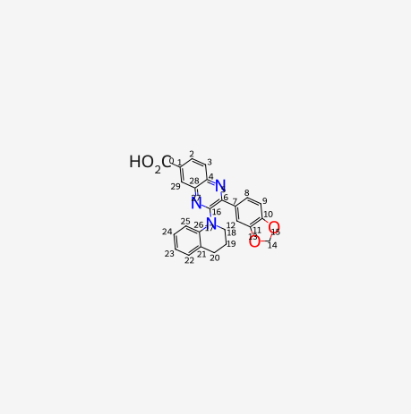 O=C(O)c1ccc2nc(-c3ccc4c(c3)OCO4)c(N3CCCc4ccccc43)nc2c1